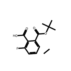 CC.CC(C)(C)OC(=O)c1cccc(F)c1C(=O)O